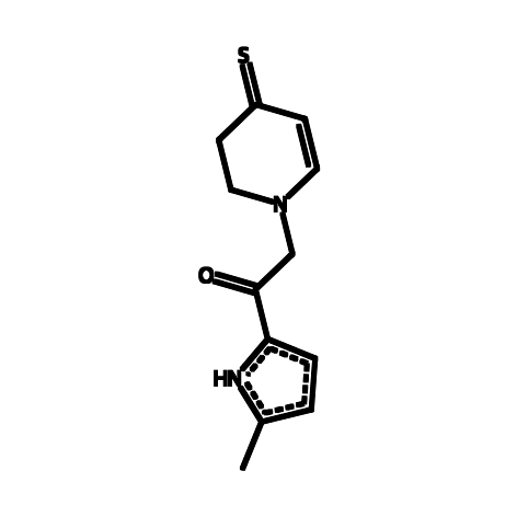 Cc1ccc(C(=O)CN2C=CC(=S)CC2)[nH]1